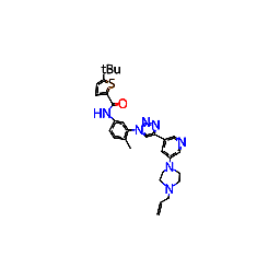 C=CCN1CCN(c2cncc(-c3cn(-c4cc(NC(=O)c5ccc(C(C)(C)C)s5)ccc4C)nn3)c2)CC1